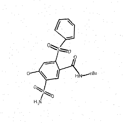 CCCCNC(=O)c1cc(S(N)(=O)=O)c(Cl)cc1S(=O)(=O)c1ccccc1